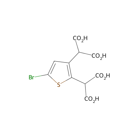 O=C(O)C(C(=O)O)c1cc(Br)sc1C(C(=O)O)C(=O)O